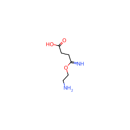 N=C(CCC(=O)O)OCCN